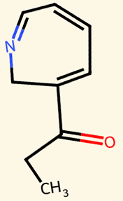 CCC(=O)C1=CC=CC=NC1